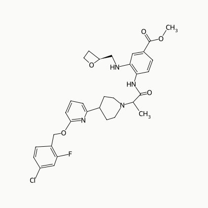 COC(=O)c1ccc(NC(=O)C(C)N2CCC(c3cccc(OCc4ccc(Cl)cc4F)n3)CC2)c(NC[C@@H]2CCO2)c1